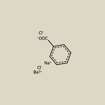 O=C([O-])c1ccccc1.[Ba+2].[Cl-].[Cl-].[Na+]